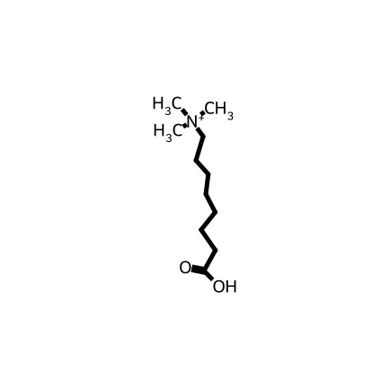 C[N+](C)(C)CCCCCCCC(=O)O